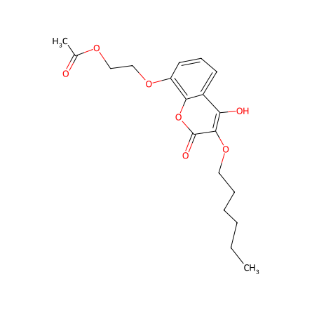 CCCCCCOc1c(O)c2cccc(OCCOC(C)=O)c2oc1=O